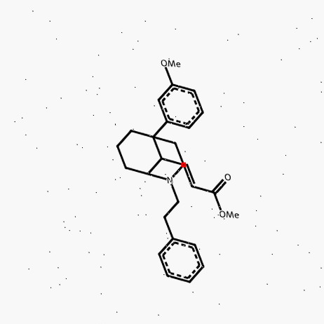 COC(=O)C=CC1C2CCCC1(c1cccc(OC)c1)CCN2CCc1ccccc1